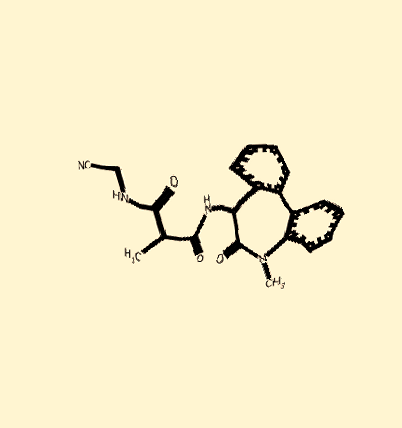 CC(C(=O)NCC#N)C(=O)NC1C(=O)N(C)c2ccccc2-c2ccccc21